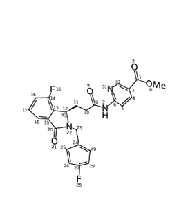 COC(=O)c1ccc(NC(=O)CC[C@@H]2c3c(F)cccc3C(=O)N2Cc2ccc(F)cc2)nc1